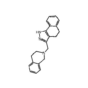 c1ccc2c(c1)CCN(Cc1n[nH]c3c1CCc1ccccc1-3)C2